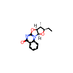 CC[C@H]1O[C@@H]2[C@@H](Oc3nc(=O)c4ccccc4n32)[C@@H]1C